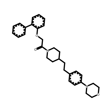 O=C(COc1ccccc1-c1ccccc1)N1CCC(CCc2ccc(N3CCOCC3)cc2)CC1